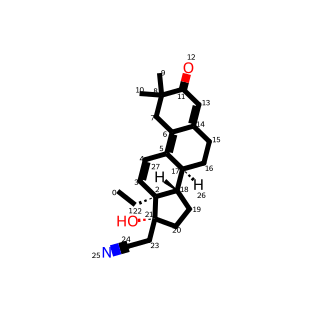 CC[C@]12C=CC3=C4CC(C)(C)C(=O)C=C4CC[C@H]3[C@@H]1CC[C@@]2(O)CC#N